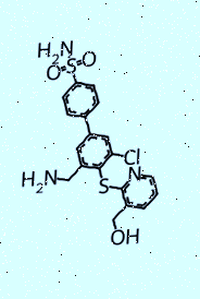 NCc1cc(-c2ccc(S(N)(=O)=O)cc2)cc(Cl)c1Sc1ncccc1CO